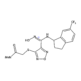 CNC(=O)CSc1nonc1/C(=N\O)NC1CCc2ccc(C(F)(F)F)cc21